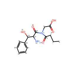 CCCC(=O)N(CC(=O)O)C(=O)C(N)C(O)c1ccccc1